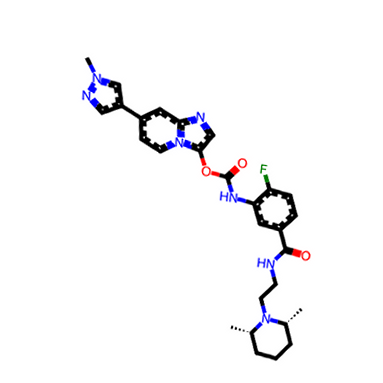 C[C@@H]1CCC[C@H](C)N1CCNC(=O)c1ccc(F)c(NC(=O)Oc2cnc3cc(-c4cnn(C)c4)ccn23)c1